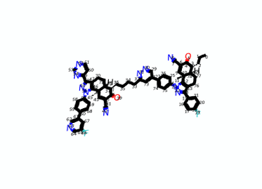 CCC[C@H]1C(=O)C(C#N)=C[C@@]2(C)c3c(c(-c4ccc(F)cc4)nn3-c3ccc(-c4cnnc(CCCC[C@H]5C(=O)C(C#N)=C[C@@]6(C)c7c(c(-c8ccncn8)nn7-c7ccc(-c8cncc(F)c8)cc7)CC[C@H]56)c4)cc3)CC[C@H]12